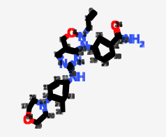 C=CCN1OCc2cnc(Nc3ccc(N4CCOCC4)c(C)c3)nc2N1c1cccc(C(N)=O)c1